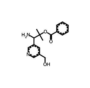 CC(C)(OC(=O)c1ccccc1)C(N)c1cncc(CO)c1